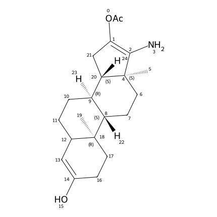 CC(=O)OC1=C(N)[C@@]2(C)CC[C@H]3[C@@H](CCC4C=C(O)CC[C@@]43C)[C@@H]2C1